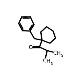 CC(C)C(=O)C1(Cc2ccccc2)CCCCC1